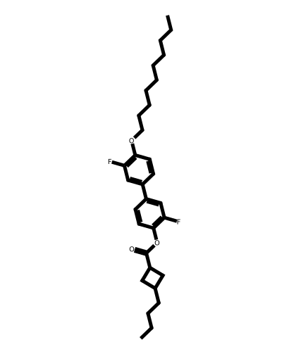 CCCCCCCCCCOc1ccc(-c2ccc(OC(=O)C3CC(CCCC)C3)c(F)c2)cc1F